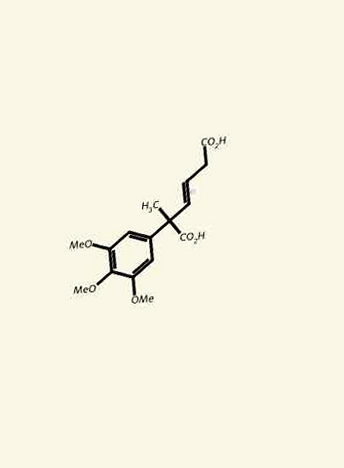 COc1cc(C(C)(/C=C/CC(=O)O)C(=O)O)cc(OC)c1OC